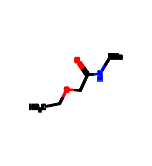 CNNC(=O)COCC(=O)O